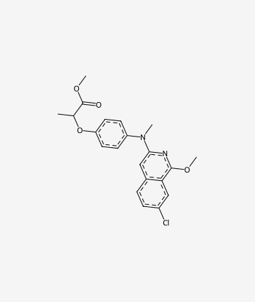 COC(=O)C(C)Oc1ccc(N(C)c2cc3ccc(Cl)cc3c(OC)n2)cc1